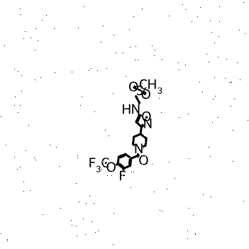 CS(=O)(=O)CCNc1cc(C2CCN(C(=O)c3ccc(OC(F)(F)F)c(F)c3)CC2)no1